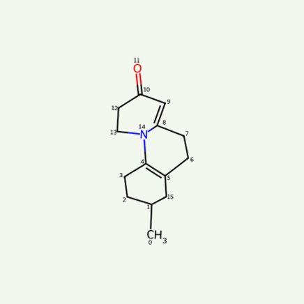 CC1CCC2=C(CCC3=CC(=O)CCN32)C1